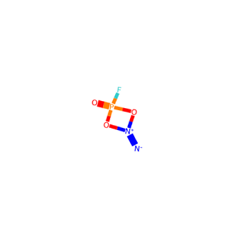 [N-]=[N+]1OP(=O)(F)O1